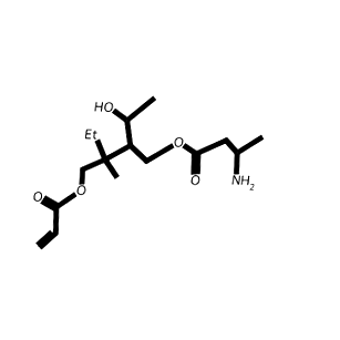 C=CC(=O)OCC(C)(CC)C(COC(=O)CC(C)N)C(C)O